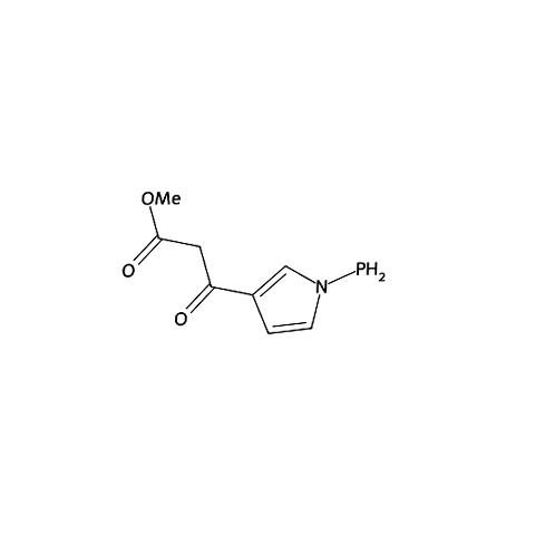 COC(=O)CC(=O)c1ccn(P)c1